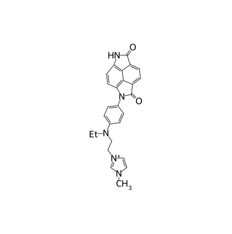 CCN(CC[n+]1ccn(C)c1)c1ccc(N2C(=O)c3ccc4c5c(ccc2c35)NC4=O)cc1